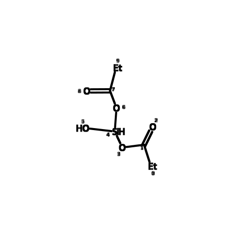 CCC(=O)O[SiH](O)OC(=O)CC